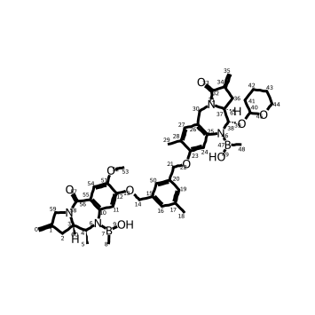 C=C1C[C@H]2[C@H](C)N(B(C)O)c3cc(OCc4cc(C)cc(COc5cc6c(cc5C)CN5C(=O)C(=C)C[C@H]5[C@H](OC5CCCCO5)N6B(C)O)c4)c(OC)cc3C(=O)N2C1